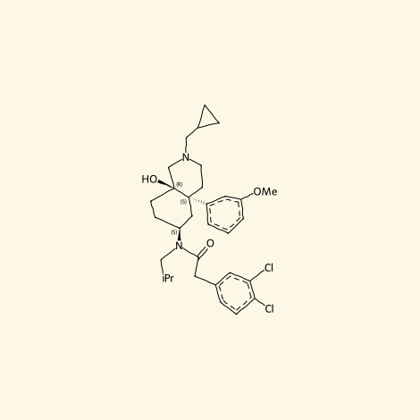 COc1cccc([C@@]23CCN(CC4CC4)C[C@@]2(O)CC[C@H](N(CC(C)C)C(=O)Cc2ccc(Cl)c(Cl)c2)C3)c1